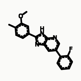 COc1cc(-c2nc3cc(-c4ccccc4F)cnc3[nH]2)ccc1C